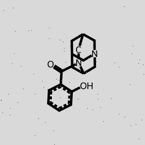 O=C(c1ccccc1O)N1CC2CC3CC1CN(C3)C2